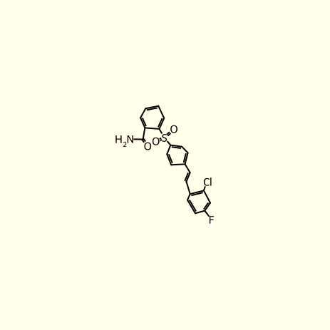 NC(=O)c1ccccc1S(=O)(=O)c1ccc(C=Cc2ccc(F)cc2Cl)cc1